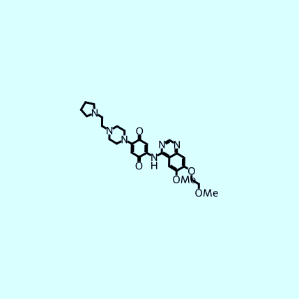 COCCOc1cc2ncnc(NC3=CC(=O)C(N4CCN(CCN5CCCC5)CC4)=CC3=O)c2cc1OC